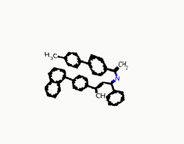 C=C(/N=C(\C=C(/C)c1ccc(-c2cccc3ccccc23)cc1)c1ccccc1)c1ccc(-c2ccc(C)cc2)cc1